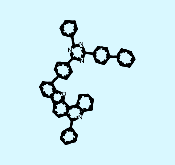 c1ccc(-c2ccc(-c3nc(-c4ccccc4)nc(-c4ccc(-c5cccc6c5oc5c6ccc6c(-c7ccccc7)nc7ccccc7c65)cc4)n3)cc2)cc1